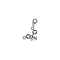 COc1ccc2c(-c3[c]ccc(OCCN4CCCCC4)c3)c(N(C)C)sc2c1